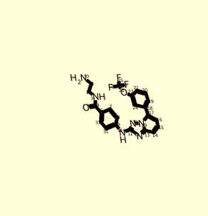 NCCNC(=O)c1ccc(Nc2nc3cccc(-c4cccc(OC(F)(F)F)c4)n3n2)cc1